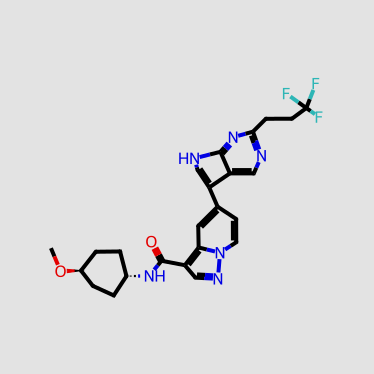 CO[C@H]1CC[C@H](NC(=O)c2cnn3ccc(-c4c[nH]c5nc(CCC(F)(F)F)ncc45)cc23)CC1